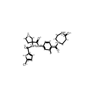 Cc1cc(NC(=O)C2(NC(=O)c3ccc(Cl)s3)CCOC2)ccc1C(=O)N1CCNC(=O)CC1